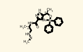 C=NNC[C@H](C)NC(=O)c1cc([C@@H](C)O[Si](c2ccccc2)(c2ccccc2)C(C)(C)C)[nH]n1